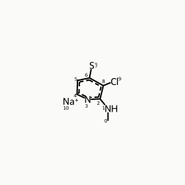 CNc1nccc([S-])c1Cl.[Na+]